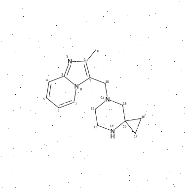 Cc1nc2ccccn2c1CN1CCNC2(CC2)C1